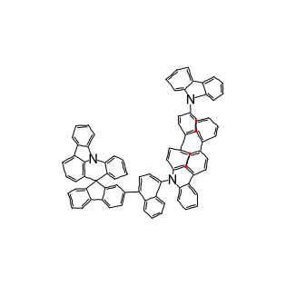 c1ccc(-c2ccc(-c3ccccc3N(c3ccc(-c4ccc(-n5c6ccccc6c6ccccc65)cc4)cc3)c3ccc(-c4ccc5c(c4)C4(c6ccccc6-5)c5ccccc5-n5c6ccccc6c6cccc4c65)c4ccccc34)cc2)cc1